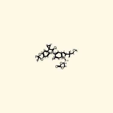 COCC(C)(C)c1cc2cc(NC(=O)C3(c4ccc5c(c4)OC(F)(F)O5)CC3)c(F)cc2n1C[C@@H]1COC(=O)O1